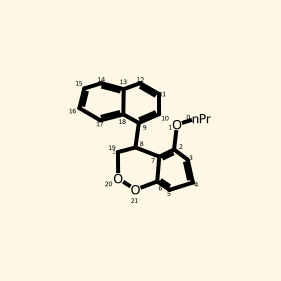 CCCOc1cccc2c1C(c1cccc3ccccc13)[C]OO2